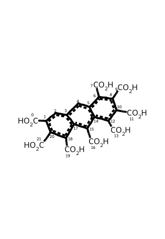 O=C(O)c1cc2cc3c(C(=O)O)c(C(=O)O)c(C(=O)O)c(C(=O)O)c3c(C(=O)O)c2c(C(=O)O)c1C(=O)O